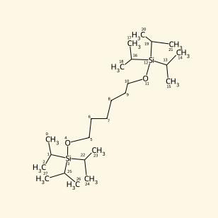 CC(C)[Si](OCCCCCCO[Si](C(C)C)(C(C)C)C(C)C)(C(C)C)C(C)C